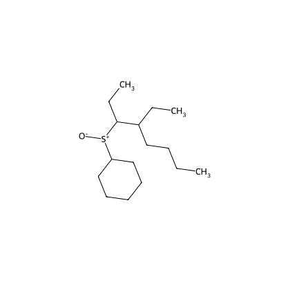 CCCCC(CC)C(CC)[S+]([O-])C1CCCCC1